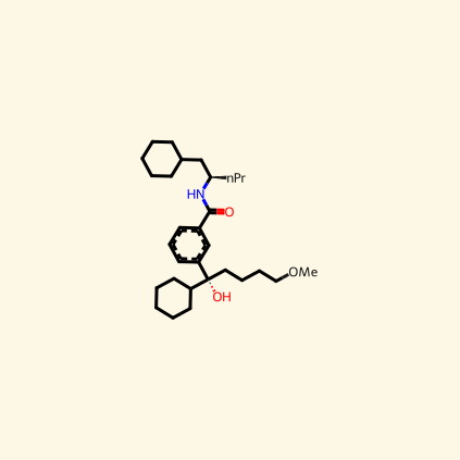 CCC[C@H](CC1CCCCC1)NC(=O)c1cccc([C@@](O)(CCCCOC)C2CCCCC2)c1